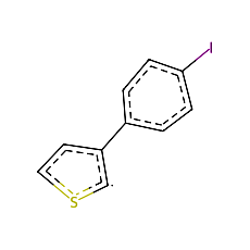 Ic1ccc(-c2[c]scc2)cc1